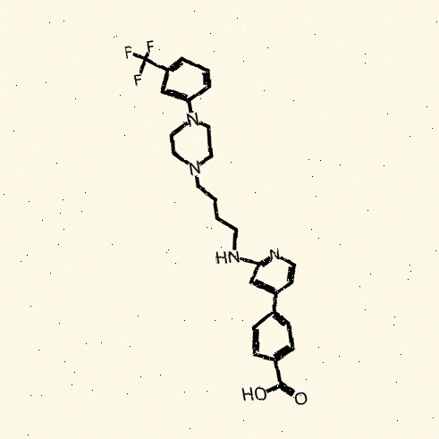 O=C(O)c1ccc(-c2ccnc(NCCCCN3CCN(c4cccc(C(F)(F)F)c4)CC3)c2)cc1